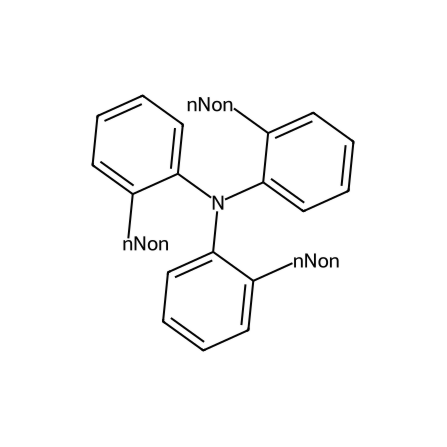 CCCCCCCCCc1ccccc1N(c1ccccc1CCCCCCCCC)c1ccccc1CCCCCCCCC